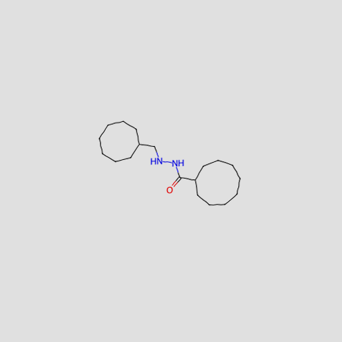 O=C(NNCC1CCCCCCC1)C1CCCCCCCC1